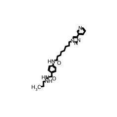 CCCNNC(=O)c1ccc(NC(=O)CCCCCCCn2cc(-c3cccnc3)nn2)cc1